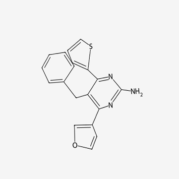 Nc1nc(-c2ccoc2)c(Cc2ccccc2)c(-c2cccs2)n1